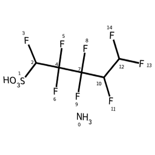 N.O=S(=O)(O)C(F)C(F)(F)C(F)(F)C(F)C(F)F